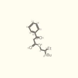 CCCCC(CC)COC(=O)CC(=O)c1ccccc1